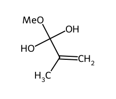 C=C(C)C(O)(O)OC